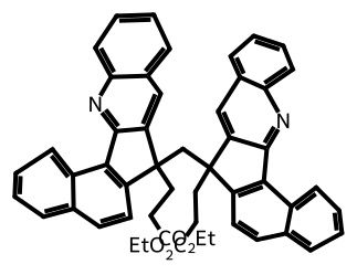 CCOC(=O)CCC1(CC2(CCC(=O)OCC)c3cc4ccccc4nc3-c3c2ccc2ccccc32)c2cc3ccccc3nc2-c2c1ccc1ccccc21